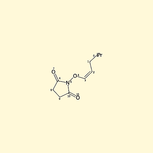 CC(C)C/C=C\ON1C(=O)CCC1=O